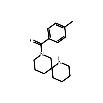 Cc1ccc(C(=O)N2CCCC3(CCCCN3)C2)cc1